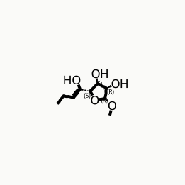 CCC=C(O)[C@H]1O[C@@H](OC)[C@H](O)[C@@H]1O